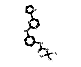 CC(C)(C)NC(=O)Nc1cccc(Nc2nccc(-c3ccc[nH]3)n2)c1